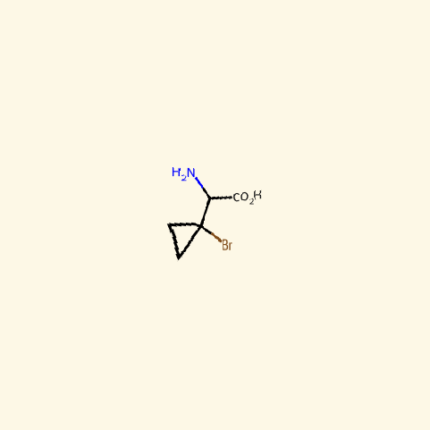 NC(C(=O)O)C1(Br)CC1